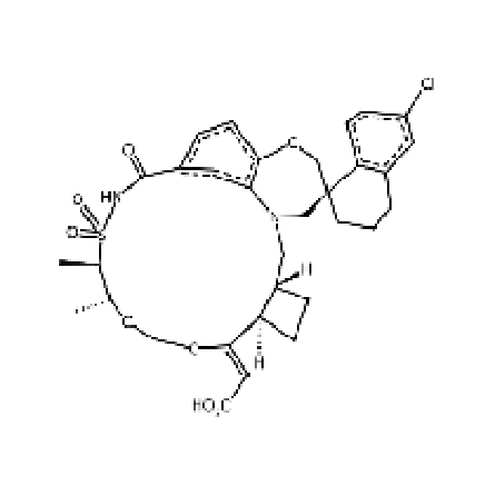 C[C@@H]1[C@@H](C)CCC/C(=C\C(=O)O)[C@@H]2CC[C@H]2CN2C[C@@]3(CCCc4cc(Cl)ccc43)COc3ccc(cc32)C(=O)NS1(=O)=O